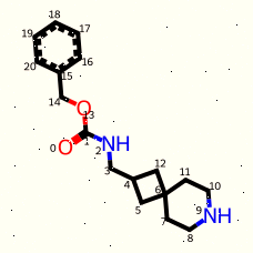 O=C(NCC1CC2(CCNCC2)C1)OCc1ccccc1